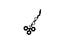 CC#CCCCOCCOCCSC(c1ccccc1)(c1ccccc1)c1ccccc1